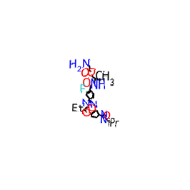 CCC(Oc1ccc(-c2noc(C(C)C)n2)cc1)c1nc(-c2ccc(C(=O)N[C@@H](C)COC(=O)CN)c(F)c2)no1